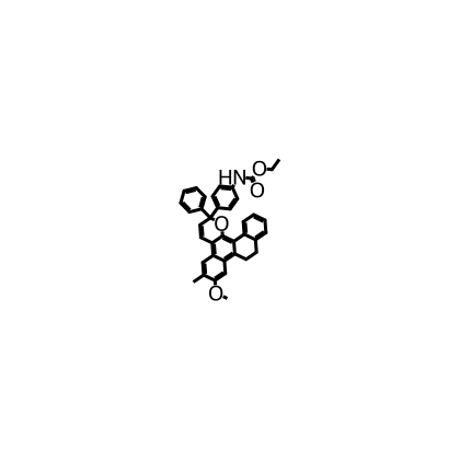 CCOC(=O)Nc1ccc(C2(c3ccccc3)C=Cc3c(c4c(c5cc(OC)c(C)cc35)CCc3ccccc3-4)O2)cc1